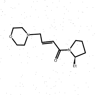 CC[C@@H]1CCCN1C(=O)/C=C/CN1CCOCC1